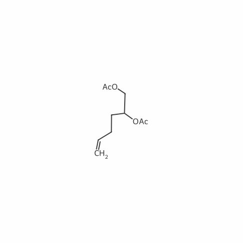 C=CCCC(COC(C)=O)OC(C)=O